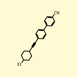 CCC1CCC(C#Cc2ccc(-c3ccc(C#N)cc3)cc2)CC1